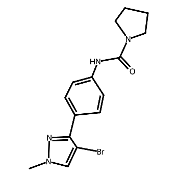 Cn1cc(Br)c(-c2ccc(NC(=O)N3CCCC3)cc2)n1